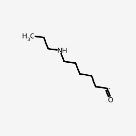 CCCNCCCCC[C]=O